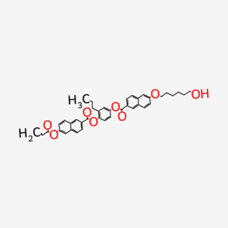 C=CC(=O)Oc1ccc2cc(C(=O)Oc3ccc(OC(=O)c4ccc5cc(OCCCCCCO)ccc5c4)cc3CCC)ccc2c1